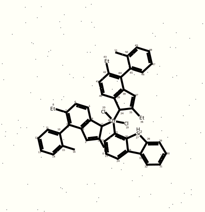 CCC1=Cc2c(ccc(CC)c2-c2ccccc2C)[CH]1[Zr]([Cl])([Cl])([c]1cccc2c1[SiH2]c1ccccc1-2)[CH]1C(CC)=Cc2c1ccc(CC)c2-c1ccccc1C